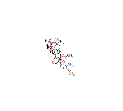 COCC(N)CO[C@H]1[C@H](OC(C)=O)C[C@@]23COC[C@@]1(C)[C@@H]2CC[C@H]1C3=CC(=O)[C@@]2(C)[C@H](C(=O)O)[C@@](C)([C@H](C)C(C)C)CC[C@]12C